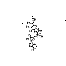 O=P(O)(OC[C@H]1O[C@@H](n2cnc3c(O)ncnc32)C(O)C1O)OP(=O)(O)O[C@@H]1OC([C@H](O)CO)[C@@H](O)C(O)C1O